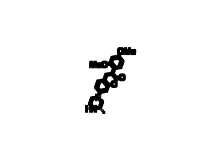 COc1ccc(C2Cc3ccc(N4CCN[C@@H](C)C4)cc3OC2=O)c(OC)c1